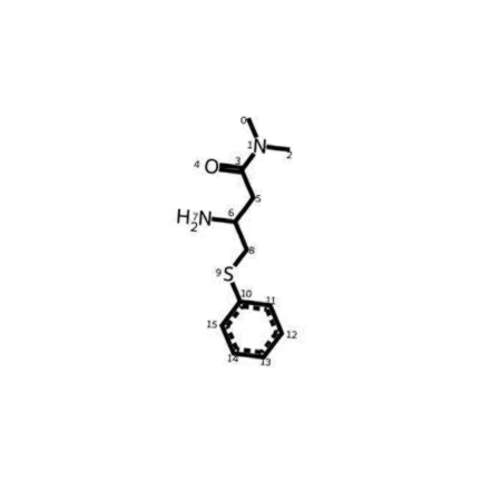 CN(C)C(=O)CC(N)CSc1ccccc1